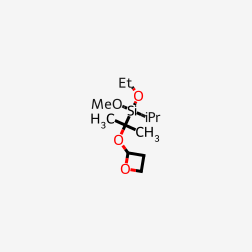 CCO[Si](OC)(C(C)C)C(C)(C)OC1CCO1